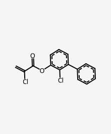 C=C(Cl)C(=O)Oc1cccc(-c2ccccc2)c1Cl